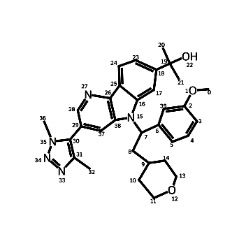 COc1cccc(C(CC2CCOCC2)n2c3cc(C(C)(C)O)ccc3c3ncc(-c4c(C)nnn4C)cc32)c1